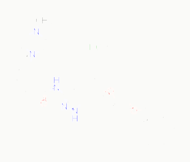 CN1CCN(c2cccc(C(=O)Nc3n[nH]c4cc(OCCOCc5ccccc5)ccc34)c2)CC1.Cl